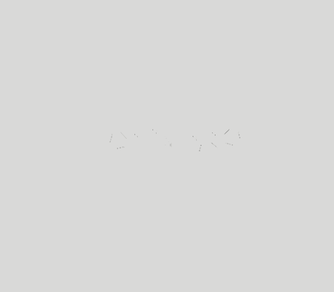 CCc1cccc(N2CCN(C[C@@H](O)CCNC(=O)c3cc4ccccc4[nH]3)CC2)c1Cl